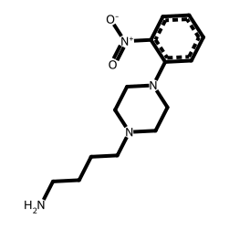 NCCCCN1CCN(c2ccccc2[N+](=O)[O-])CC1